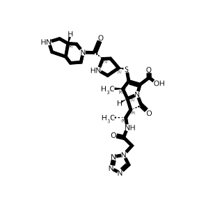 C[C@@H](NC(=O)Cn1cnnn1)[C@H]1C(=O)N2C(C(=O)O)=C(S[C@@H]3CN[C@H](C(=O)N4CCC5CNC[C@@H]5C4)C3)[C@H](C)[C@H]12